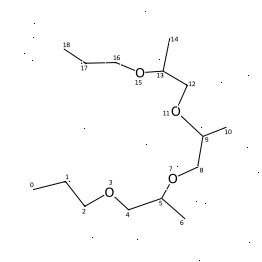 C[CH]COCC(C)OCC(C)OCC(C)OC[CH]C